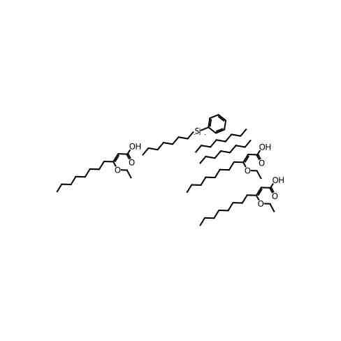 CCCCCCCC.CCCCCCCC.CCCCCCCC.CCCCCCCCC(=CC(=O)O)OCC.CCCCCCCCC(=CC(=O)O)OCC.CCCCCCCCC(=CC(=O)O)OCC.[Si]c1ccccc1